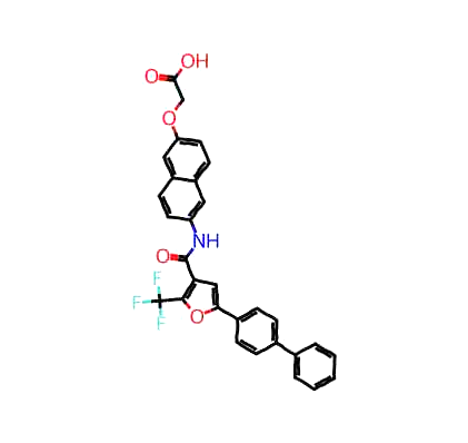 O=C(O)COc1ccc2cc(NC(=O)c3cc(-c4ccc(-c5ccccc5)cc4)oc3C(F)(F)F)ccc2c1